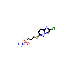 NS(=O)(=O)CCCSc1ccc2nc(Cl)cn2n1